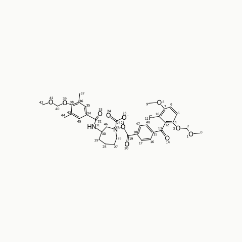 COCOc1ccc(OC)c(F)c1C(=O)c1ccc(C(=O)O[N+]2(C(=O)[O-])CCCCC(NC(=O)c3cc(C)c(OCOC)c(C)c3)C2)cc1